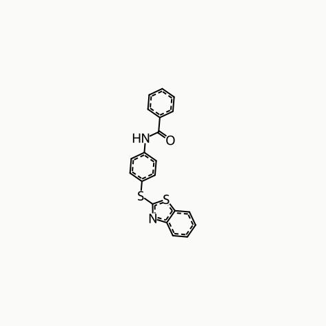 O=C(Nc1ccc(Sc2nc3ccccc3s2)cc1)c1ccccc1